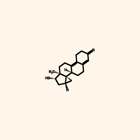 C[C@]12CCC3=C4CCC(=O)C=C4CC[C@H]3[C@]13C[C@@H]3C[C@@H]2O